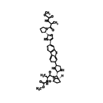 COC(=O)N[C@@H](C)C(=O)N1CCC[C@H]1c1ncc(-c2ccc3c(c2)sc2cc(C4CNC([C@@H]5[C@H]6CC[C@H](C6)N5C(=O)[C@H](C)NC(=O)OC)N4)ccc23)[nH]1